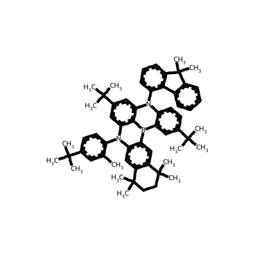 Cc1cc(C(C)(C)C)ccc1N1c2cc3c(cc2B2c4cc(C(C)(C)C)ccc4N(c4cccc5c4-c4ccccc4C5(C)C)c4cc(C(C)(C)C)cc1c42)C(C)(C)CCC3(C)C